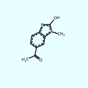 CC(=O)c1ccc2nc(O)n(C)c2c1